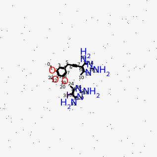 COc1cc(CC#Cc2c(C)nc(N)nc2N)cc(OC)c1OC.Cc1nc(N)nc(N)c1I